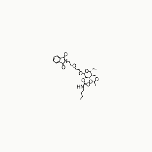 CCCCNC(=O)O[C@@H]1[C@@H](OCCOCCN2C(=O)c3ccccc3C2=O)O[C@H](CC)[C@@H](C)[C@@H]1OC(C)=O